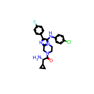 N[C@H](C(=O)N1CCn2c(nc(-c3ccc(F)cc3)c2Nc2ccc(Cl)cc2)C1)C1CC1